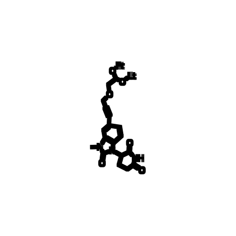 CCOC(COCC#Cc1ccc2c(c1)n(C)c(=O)n2C1CCC(=O)NC1=O)OCC